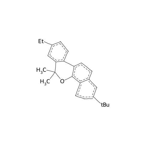 CCc1ccc2c(c1)C(C)(C)Oc1c-2ccc2cc(C(C)(C)C)ccc12